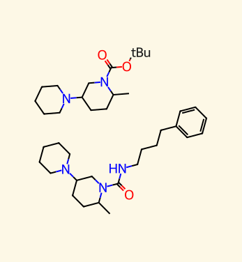 CC1CCC(N2CCCCC2)CN1C(=O)NCCCCc1ccccc1.CC1CCC(N2CCCCC2)CN1C(=O)OC(C)(C)C